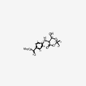 COC(=O)c1ccc(NC2C(=O)OC(C)(C)OC2O)cc1